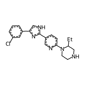 CCC1CNCCN1c1ccc(-c2nc(-c3cccc(Cl)c3)c[nH]2)cn1